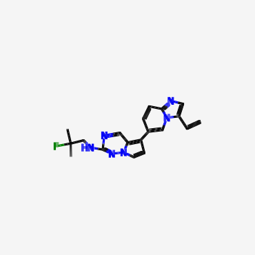 C=Cc1cnc2ccc(-c3ccn4nc(NCC(C)(C)F)ncc34)cn12